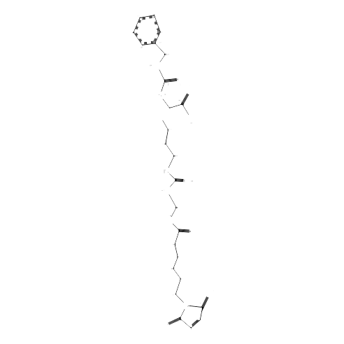 O=C(CCCCCN1C(=O)C=CC1=O)OCOC(=O)NCCCC[C@H](NC(=O)OCc1ccccc1)C(=O)O